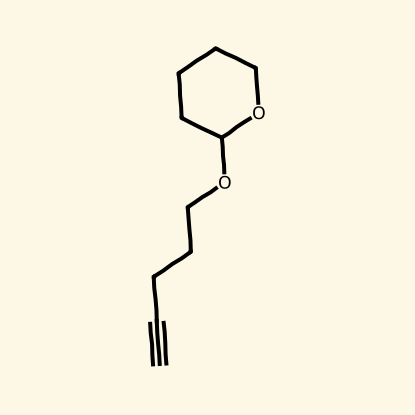 C#CCCCOC1CCCCO1